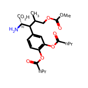 CCCC(=O)Oc1ccc(C(C(C)COC(=O)OC)[C@H](N)C(=O)O)cc1OC(=O)CCC